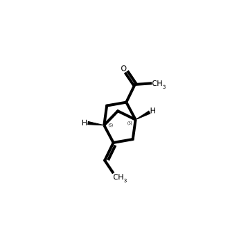 CC=C1C[C@@H]2C[C@H]1CC2C(C)=O